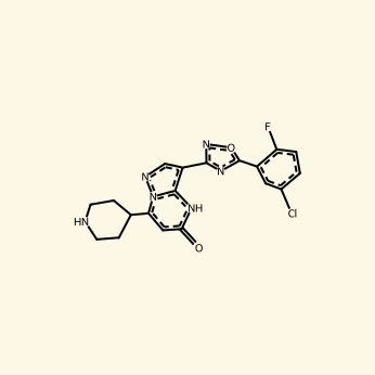 O=c1cc(C2CCNCC2)n2ncc(-c3noc(-c4cc(Cl)ccc4F)n3)c2[nH]1